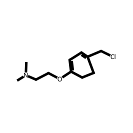 CN(C)CCOC1=CC=C(CCl)CC1